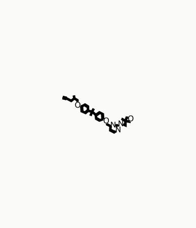 C#CCC(C)COc1ccc(C(C)(C)c2ccc(OCc3ccnc(N4CC5(COC5)C4)n3)cc2)cc1